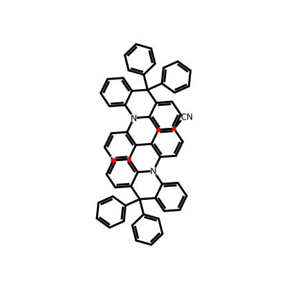 N#Cc1ccc(N2c3ccccc3C(c3ccccc3)(c3ccccc3)c3ccccc32)c(-c2cnccc2N2c3ccccc3C(c3ccccc3)(c3ccccc3)c3ccccc32)c1